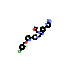 Nc1cccc(-c2ccc3c(c2)nc(CN2CCC(c4cccc(OCc5ccc(Cl)cc5F)n4)CC2)n3CC2CCO2)n1